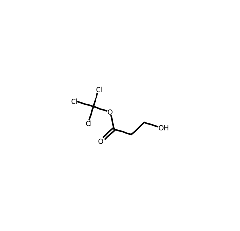 O=C(CCO)OC(Cl)(Cl)Cl